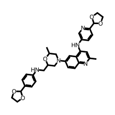 Cc1cc(Nc2ccc(C3OCCO3)nc2)c2cc(N3CC(C)OC(CNc4ccc(C5OCCO5)cc4)C3)ccc2n1